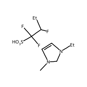 CCC(F)C(F)(F)S(=O)(=O)O.CCN1C=CN(C)C1